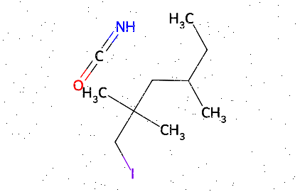 CCC(C)CC(C)(C)CI.N=C=O